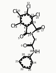 O=C(CN1C(=O)c2c(Cl)c(Cl)c(Cl)c(Cl)c2C1=O)Nc1ccccc1